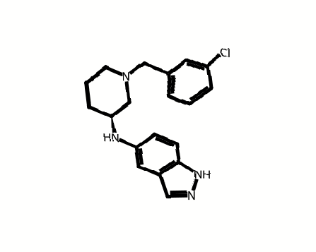 Clc1cccc(CN2CCC[C@H](Nc3ccc4[nH]ncc4c3)C2)c1